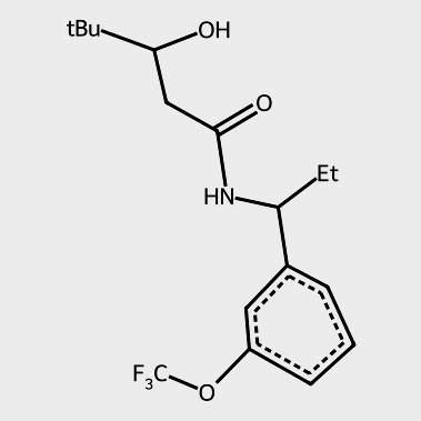 CCC(NC(=O)CC(O)C(C)(C)C)c1cccc(OC(F)(F)F)c1